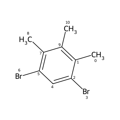 Cc1c(Br)cc(Br)c(C)c1C